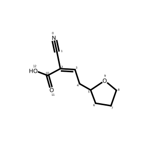 N#CC(=CCC1CCCO1)C(=O)O